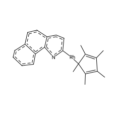 CC1=C(C)[C](C)([Rh][c]2ccc3ccc4ccccc4c3n2)C(C)=C1C